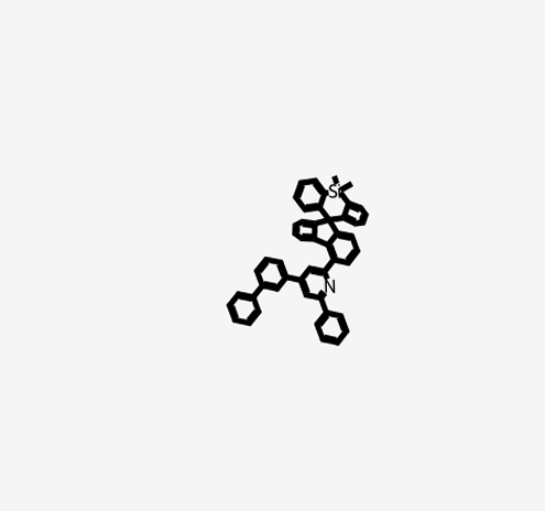 C[Si]1(C)c2ccccc2C2(c3ccccc3-c3c(-c4cc(-c5cccc(-c6ccccc6)c5)cc(-c5ccccc5)n4)cccc32)c2ccccc21